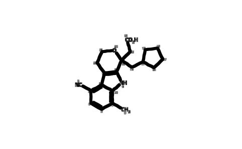 Cc1ccc(C#N)c2c3c([nH]c12)C(CC(=O)O)(CC1CCCC1)OCC3